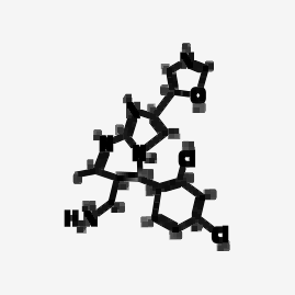 Cc1nc2nc(-c3cnco3)cn2c(-c2ccc(Cl)cc2Cl)c1CN